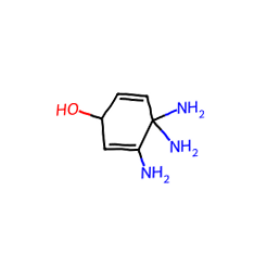 NC1=CC(O)C=CC1(N)N